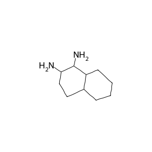 NC1CCC2CCCCC2C1N